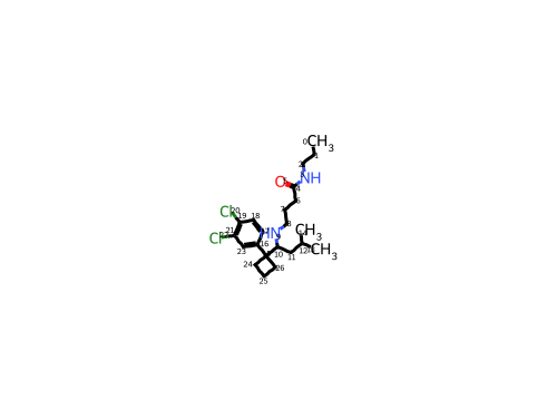 CCCNC(=O)CCCNC(CC(C)C)C1(c2ccc(Cl)c(Cl)c2)CCC1